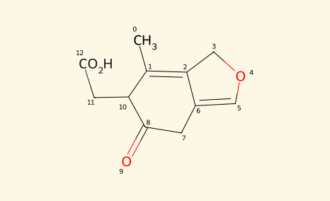 CC1=C2COC=C2CC(=O)C1CC(=O)O